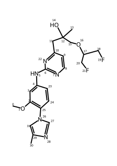 COc1cc(Nc2nccc(CC(C)(O)COC(CF)CF)n2)ccc1-n1cnc(C)c1